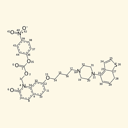 O=C(OCn1c(=O)ccc2ccc(OCCCCN3CCN(C4=C5C=CSC5CC=C4)CC3)cc21)Oc1ccc([N+](=O)[O-])cc1